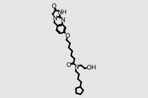 O=C1CN2Cc3ccc(OCCCCCCC(=O)N(CCO)CCCCC4CCCC4)cc3N=C2N1